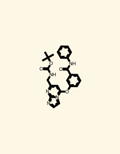 CC(C)(C)OC(=O)NCc1cc(Oc2cccc(C(=O)Nc3ccccc3)c2)n2ccnc2n1